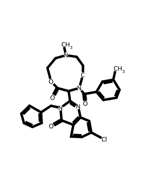 Cc1cccc(C(=O)N2CCCN(C)CCOC(=O)C2c2nc3cc(Cl)ccc3c(=O)n2Cc2ccccc2)c1